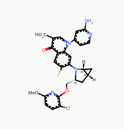 COc1ccc(Cl)c(OC[C@H]2C[C@H]3C[C@H]3N2c2cc3c(cc2F)c(=O)c(C(=O)O)cn3-c2ccnc(N)c2)n1